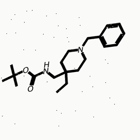 CCC1(CNC(=O)OC(C)(C)C)CCN(Cc2ccccc2)CC1